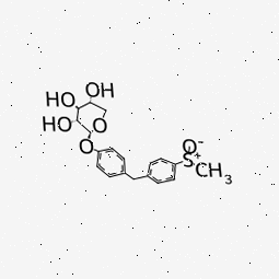 C[S+]([O-])c1ccc(Cc2ccc(O[C@@H]3OC[C@@H](O)[C@H](O)[C@H]3O)cc2)cc1